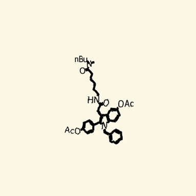 CCCCN(C)C(=O)CCCCCNC(=O)Cc1c(-c2ccc(OC(C)=O)cc2)n(Cc2ccccc2)c2ccc(OC(C)=O)cc12